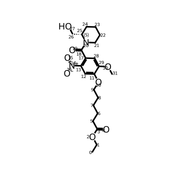 CCOC(=O)CCCCCOc1cc([N+](=O)[O-])c(C(=O)N2CCCC[C@H]2CO)cc1OC